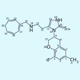 Cc1cc(F)c2c(c1)CC(n1c(CCNCC3=CC=CCC=C3)c[nH]c1=S)CO2